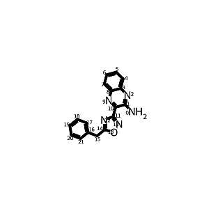 Nc1nc2ccccc2nc1-c1noc(Cc2ccccc2)n1